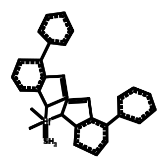 [CH3][Hf]([CH3])(=[SiH2])([CH]1C=Cc2c(-c3ccccc3)cccc21)[CH]1C=Cc2c(-c3ccccc3)cccc21